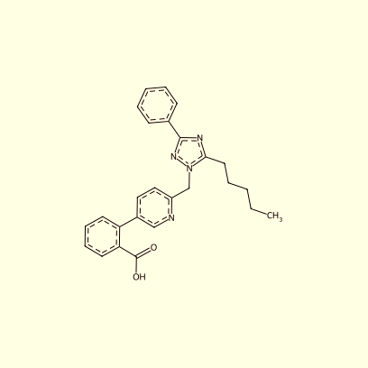 CCCCCc1nc(-c2ccccc2)nn1Cc1ccc(-c2ccccc2C(=O)O)cn1